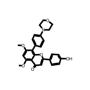 COc1cc(OC)c2c(=O)cc(-c3ccc(O)cc3)oc2c1-c1ccc(N2CCOCC2)cc1